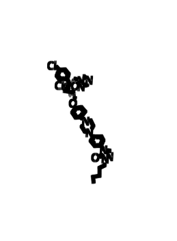 CCCCCn1ncn(-c2ccc(N3CCN(c4ccc(OC[C@@H]5CO[C@@](Cn6cncn6)(c6ccc(Cl)cc6Cl)O5)cc4)CC3)cc2)c1=O